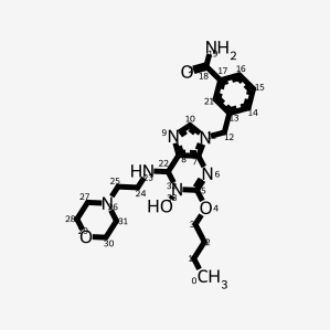 CCCCOC1=Nc2c(ncn2Cc2cccc(C(N)=O)c2)C(NCCN2CCOCC2)N1O